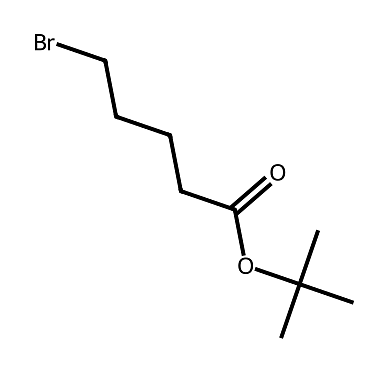 CC(C)(C)OC(=O)CCCCBr